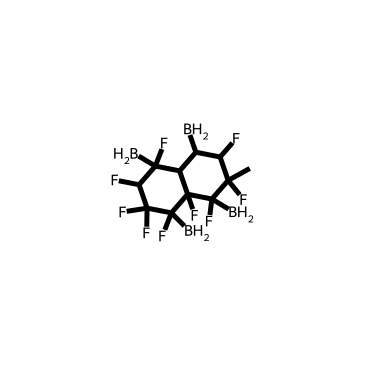 BC1C(F)C(C)(F)C(B)(F)C2(F)C1C(B)(F)C(F)C(F)(F)C2(B)F